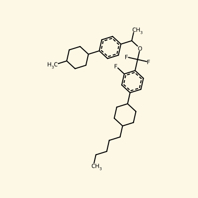 CCCCCC1CCC(c2ccc(C(F)(F)OC(C)c3ccc(C4CCC(C)CC4)cc3)c(F)c2)CC1